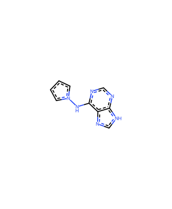 c1ccn(Nc2ncnc3[nH]cnc23)c1